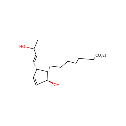 CCOC(=O)CCCCCC[C@H]1[C@@H](/C=C/C(C)O)C=C[C@@H]1O